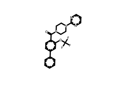 O=C(c1ccc(-c2ccccc2)cc1OC(F)(F)F)N1CCN(c2ncccn2)CC1